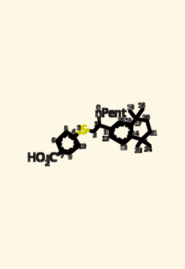 CCCCCC(CSc1ccc(C(=O)O)cc1)c1ccc2c(c1)C(C)(C)CCC2(C)C